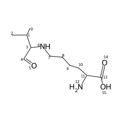 CC(C)C(C=O)NCCCCC(N)C(=O)O